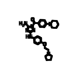 Nc1nc(Nc2ccc(OCCN3CCCC3)cc2)nn1C(=O)c1ccc(N2CCCCC2)cc1